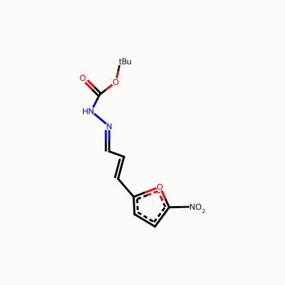 CC(C)(C)OC(=O)NN=CC=Cc1ccc([N+](=O)[O-])o1